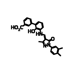 CC1=NN(c2ccc(C)c(C)c2)C(=O)/C1=C/Nc1cccc(-c2cccc(C(=O)O)c2)c1O